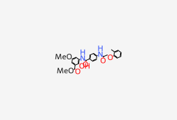 COC(=O)c1cc(OC)cc(NC(=O)c2ccc(NC(=O)COc3ccccc3C)cc2)c1O